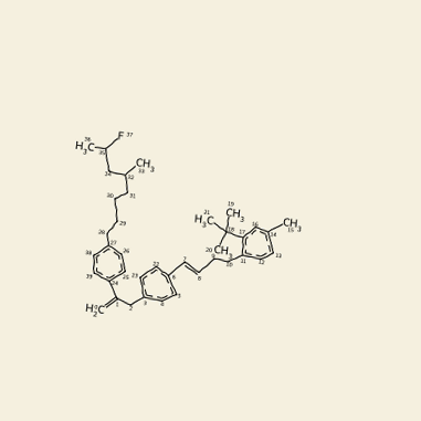 C=C(Cc1ccc(/C=C/CCc2ccc(C)cc2C(C)(C)C)cc1)c1ccc(CCCCC(C)CC(C)F)cc1